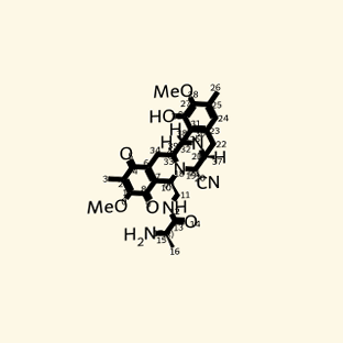 COC1=C(C)C(=O)C2=C(C1=O)[C@H](CNC(=O)[C@@H](C)N)N1[C@@H](C#N)[C@H]3Cc4cc(C)c(OC)c(O)c4[C@@H]([C@@H]1C2)N3C